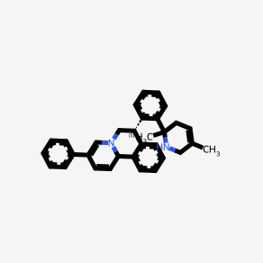 CC1=CCC(C)(c2ccccc2[C@H]2CN3C=C(c4ccccc4)C=CC3c3ccccc32)NC1